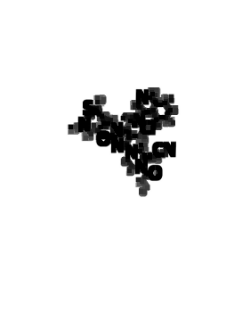 C=CC(=O)N1CCN(c2nc(OCCN(C)C3S[C@@]3(C)C3CC3)nc3c2CCN(c2cncc4cccc(Cl)c24)C3)C[C@@H]1CC#N